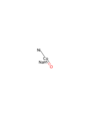 [NaH].[O]=[Co][Ni]